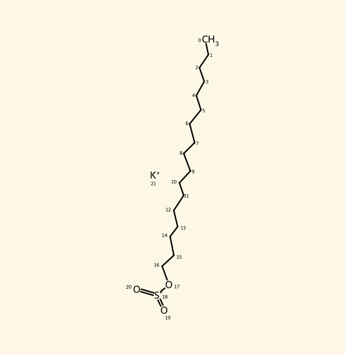 CCCCCCCCCCCCCCCCCO[S-](=O)=O.[K+]